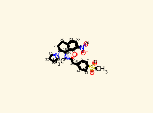 CN(C(=O)Cc1ccc(S(C)(=O)=O)cc1)[C@@H]1c2cc([N+](=O)[O-])ccc2CC[C@H]1N1CCCC1